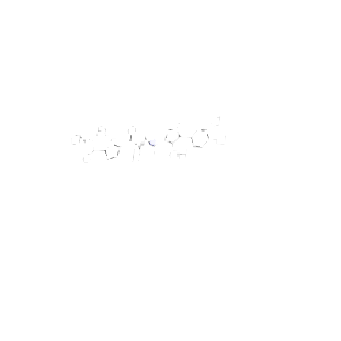 [C-]#[N+]C(CC)C(=O)c1ccc(C(=O)N/N=C(\C)c2csc(-c3ccc(Cl)c(Cl)c3)c2O)s1